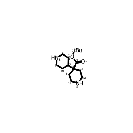 CC(C)(C)OC(=O)C1(C2CCNCC2)CCNCC1